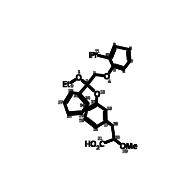 CCOC(COc1ccccc1C(C)C)(Oc1cccc(CC(OC)C(=O)O)c1)c1ccccc1